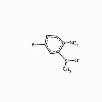 C[S+]([O-])c1cc(Br)ccc1[N+](=O)[O-]